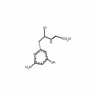 CCCc1cc(N)nc(CC(CC)NCC(=O)O)c1